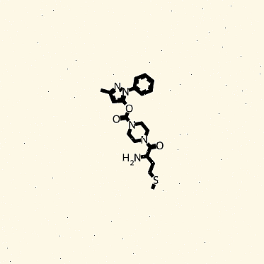 CSCCC(N)C(=O)N1CCN(C(=O)Oc2cc(C)nn2-c2ccccc2)CC1